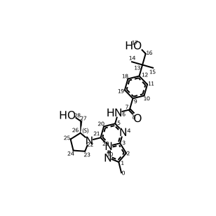 Cc1cc2nc(NC(=O)c3ccc(C(C)(C)CO)cc3)cc(N3CCC[C@H]3CO)n2n1